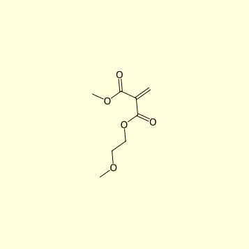 C=C(C(=O)OC)C(=O)OCCOC